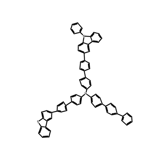 c1ccc(-c2ccc(-c3ccc(N(c4ccc(-c5ccc(-c6ccc7sc8ccccc8c7c6)cc5)cc4)c4ccc(-c5ccc(-c6ccc7c(c6)c6ccccc6n7-c6ccccc6)cc5)cc4)cc3)cc2)cc1